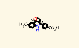 Cc1ccc2c(c1)[C@@H]1OCC[C@@H]1[C@@H](c1ccc(C(=O)O)cc1)N2